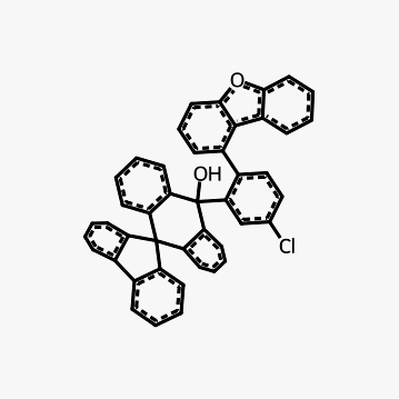 OC1(c2cc(Cl)ccc2-c2cccc3oc4ccccc4c23)c2ccccc2C2(c3ccccc3-c3ccccc32)c2ccccc21